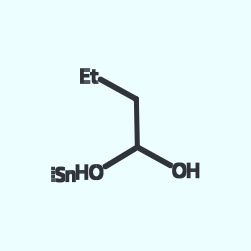 CCCC(O)O.[Sn]